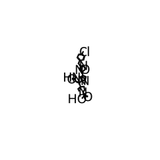 O=C(O)N1CCC(c2cc(=O)[nH]c3c(-c4nc(Cc5ccc(Cl)cc5)no4)cnn23)CC1